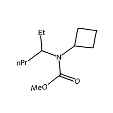 CCCC(CC)N(C(=O)OC)C1CCC1